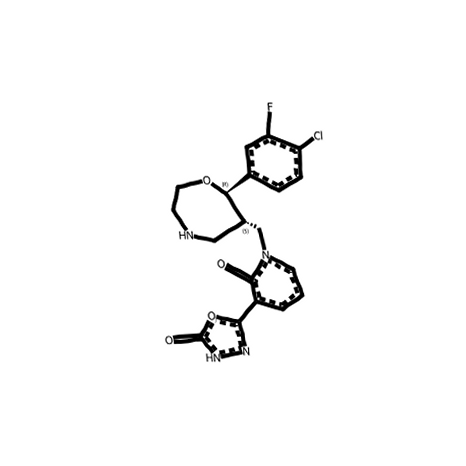 O=c1[nH]nc(-c2cccn(C[C@@H]3CNCCO[C@H]3c3ccc(Cl)c(F)c3)c2=O)o1